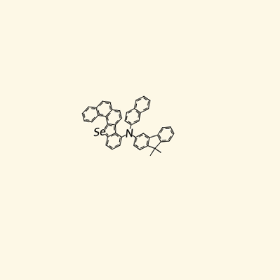 CC1(C)c2ccccc2-c2cc(N(c3ccc4ccccc4c3)c3cccc4[se]c5c(ccc6ccc7ccccc7c65)c34)ccc21